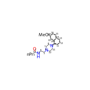 CCCC(=O)NCCN1CCN(c2cccc3ccc(OC)cc23)CC1